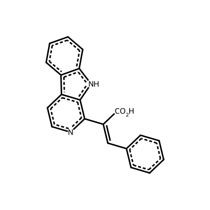 O=C(O)/C(=C\c1ccccc1)c1nccc2c1[nH]c1ccccc12